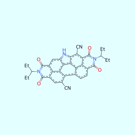 CCC(CC)n1c(=O)c2cc(C#N)c3c4ccc5c(=O)n(C(CC)CC)c(=O)c6c(C#N)c7[nH]c8cc(c1=O)c2c3c8c7c4c56